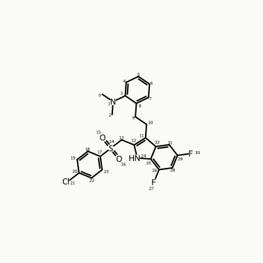 CN(C)c1ccccc1CCc1c(CS(=O)(=O)c2ccc(Cl)cc2)[nH]c2c(F)cc(F)cc12